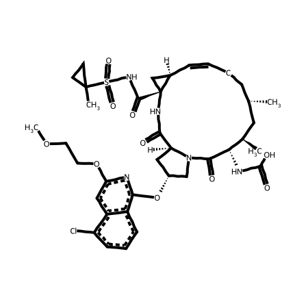 COCCOc1cc2c(Cl)cccc2c(O[C@@H]2C[C@H]3C(=O)N[C@]4(C(=O)NS(=O)(=O)C5(C)CC5)C[C@H]4/C=C\CC[C@H](C)C[C@@H](C)[C@H](NC(=O)O)C(=O)N3C2)n1